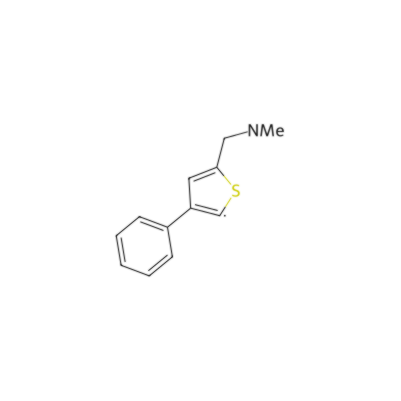 CNCc1cc(-c2ccccc2)[c]s1